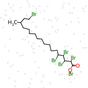 CC(CCBr)CCCCCCCCCCC(Br)C(Br)C(Br)C(Br)C(=O)OBr